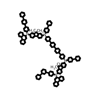 CC1(C)c2cc(N(c3ccc(-c4ccccc4)cc3)c3ccc(-c4ccc(-c5ccc(-c6ccc(N(c7ccc(-c8ccccc8)cc7)c7ccc8c(c7)C(C)(C)c7cc(N(c9ccc(-c%10cccc(-c%11ccccc%11)c%10)cc9)c9cc%10ccccc%10c%10ccccc9%10)ccc7-8)cc6)cc5)cc4)cc3)ccc2-c2ccc(N(c3ccc(-c4ccc(-c5ccccc5)cc4)cc3)c3cc4ccccc4c4ccccc34)cc21